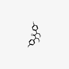 O=C(C(CF)c1ccc(I)cc1)C(CF)c1ccc(I)cc1